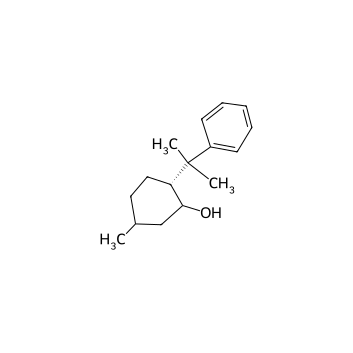 CC1CC[C@H](C(C)(C)c2ccccc2)C(O)C1